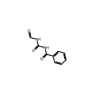 O=CNC(=O)NC(=O)c1ccccc1